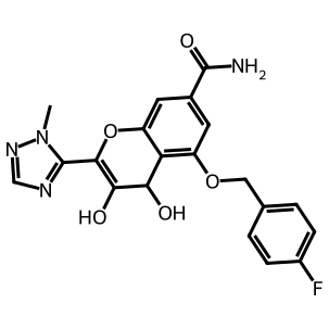 Cn1ncnc1C1=C(O)C(O)c2c(OCc3ccc(F)cc3)cc(C(N)=O)cc2O1